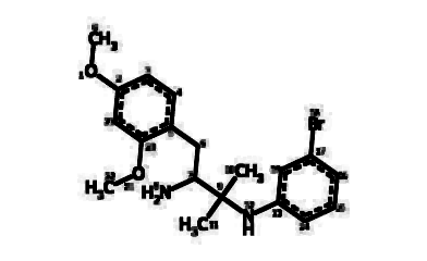 COc1ccc(CC(N)C(C)(C)Nc2cccc(Br)c2)c(OC)c1